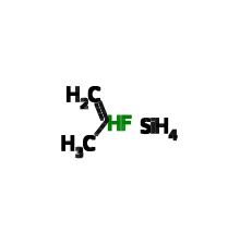 C=CC.F.[SiH4]